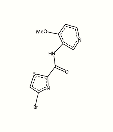 COc1ccncc1NC(=O)c1nc(Br)cs1